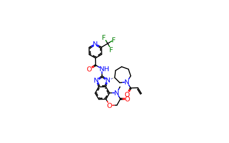 C=CC(=O)N1CCCC[C@@H](n2c(NC(=O)c3ccnc(C(F)(F)F)c3)nc3ccc4c(c32)N(C)C(=O)CO4)C1